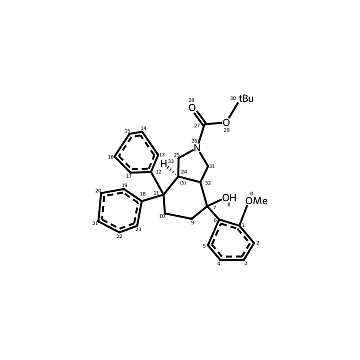 COc1ccccc1C1(O)CCC(c2ccccc2)(c2ccccc2)[C@H]2CN(C(=O)OC(C)(C)C)CC21